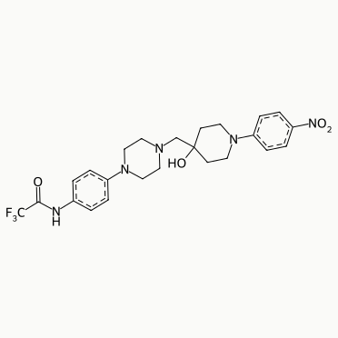 O=C(Nc1ccc(N2CCN(CC3(O)CCN(c4ccc([N+](=O)[O-])cc4)CC3)CC2)cc1)C(F)(F)F